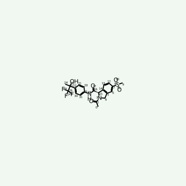 CC(=O)N1Cc2cc(S(C)(=O)=O)ccc2[C@@H]1C(=O)Nc1ccc(C(C)(O)C(F)(F)F)cc1